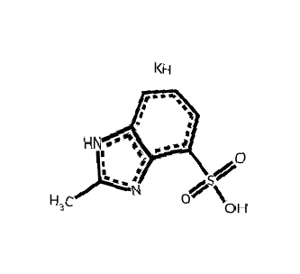 Cc1nc2c(S(=O)(=O)O)cccc2[nH]1.[KH]